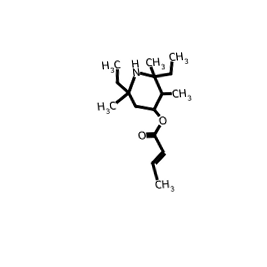 CC=CC(=O)OC1CC(C)(CC)NC(C)(CC)C1C